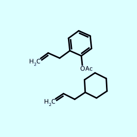 C=CCC1CCCCC1.C=CCc1ccccc1OC(C)=O